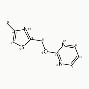 Cc1csc(COc2ncccn2)n1